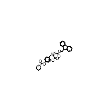 O=C(N[C@@H](Cc1ccc(OC(=O)N2CCCC2)cc1)C(=O)O)OCC1c2ccccc2-c2ccccc21